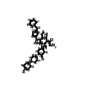 CCC1NC(C(N)=O)C(NC2CCC(N3CCC(N4CCN(C)CC4)CC3)C(C)C2)NC1N(C)[C@@H]1CCN(CC2CC=CCC2)C1